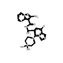 Nc1nn2cccnc2c1C(=O)NC(c1cc(Cl)c2cncn2c1N1CCS(O)(O)CC1)C(F)(F)F